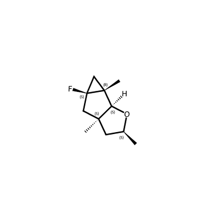 C[C@H]1C[C@@]2(C)C[C@]3(F)C[C@]3(C)[C@H]2O1